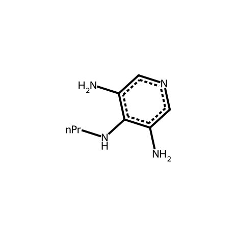 CCCNc1c(N)cncc1N